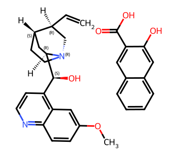 C=C[C@H]1C[N@]2CC[C@H]1C[C@@H]2[C@@H](O)c1ccnc2ccc(OC)cc12.O=C(O)c1cc2ccccc2cc1O